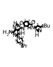 Cc1ccc(C(=O)Nc2cc(C(C)(C)C)n[nH]2)cc1Nc1ncnc2c(N)nc(N3CCN(C(C)C)CC3)nc12